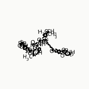 CCN1CC[C@H]2CC[C@@H](C(=O)N[C@@H](CCC(N)=O)C(=O)N[C@@H](Cc3ccc(C(C)(C)C)cc3)C(=O)NCCCCCC(=O)N3Cc4cc5c(cc4C3)C(=O)N(C3CCC(=O)NC3=O)C5=O)N2C(=O)[C@@H](NC(=O)c2cc3cc(C(F)(F)P(=O)(O)O)ccc3s2)C1